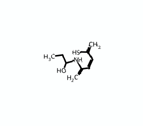 C=C(S)/C=C\C(=C)NC(O)CC